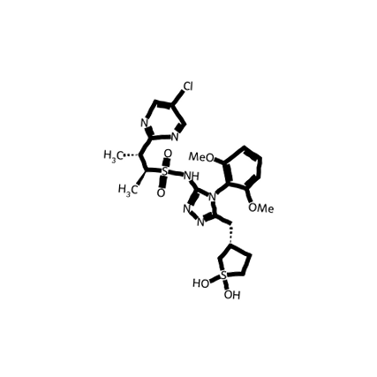 COc1cccc(OC)c1-n1c(C[C@@H]2CCS(O)(O)C2)nnc1NS(=O)(=O)[C@@H](C)[C@H](C)c1ncc(Cl)cn1